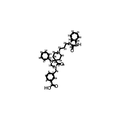 O=C(O)c1cccc(CN2CN(c3ccccc3)C3(CCN(CCCn4c(=O)[nH]c5ccccc54)CC3)C2=O)c1